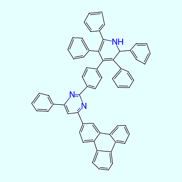 c1ccc(C2=C(c3ccccc3)C(c3ccc(-c4nc(-c5ccccc5)cc(-c5ccc6c7ccccc7c7ccccc7c6c5)n4)cc3)=C(c3ccccc3)C(c3ccccc3)N2)cc1